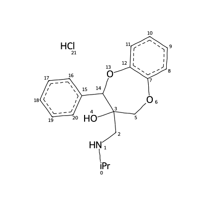 CC(C)NCC1(O)COc2ccccc2OC1c1ccccc1.Cl